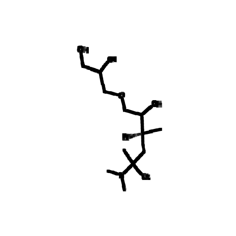 CCC(C)(C[C@@](C)(CC)C(O)COCC(O)CO)N(C)C